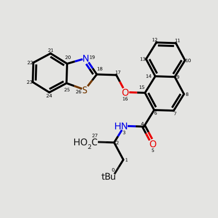 CC(C)(C)CC(NC(=O)c1ccc2ccccc2c1OCc1nc2ccccc2s1)C(=O)O